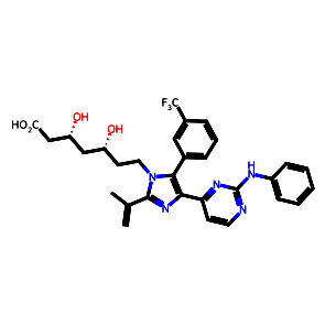 C=C(C)c1nc(-c2ccnc(Nc3ccccc3)n2)c(-c2cccc(C(F)(F)F)c2)n1CC[C@@H](O)C[C@@H](O)CC(=O)O